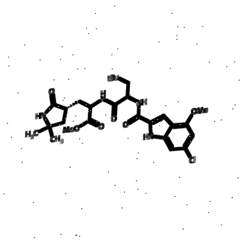 COC(=O)C(C[C@@H]1CC(C)(C)NC1=O)NC(=O)C(CC(C)(C)C)NC(=O)c1cc2c(OC)cc(Cl)cc2[nH]1